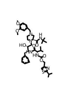 COc1ccc(CN2CCN(C[C@@H](O)[C@H](Cc3ccccc3)NC(=O)[C@@H](NC(=O)OCc3csc(C(C)C)n3)C(C)C)[C@H](C(=O)NC(C)(C)C)C2)cc1OC